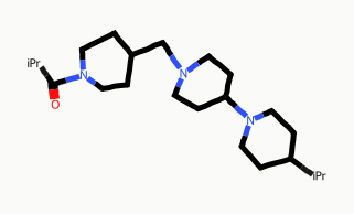 CC(C)C(=O)N1CCC(CN2CCC(N3CCC(C(C)C)CC3)CC2)CC1